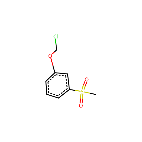 CS(=O)(=O)c1cccc(OCCl)c1